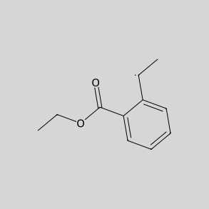 C[CH]c1ccccc1C(=O)OCC